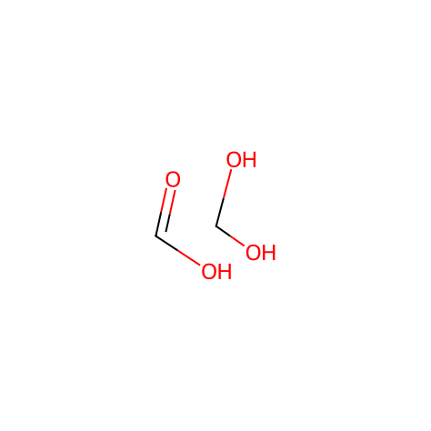 O=CO.OCO